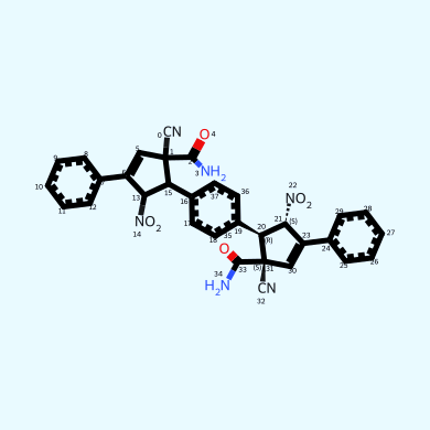 N#CC1(C(N)=O)C=C(c2ccccc2)C([N+](=O)[O-])C1c1ccc([C@H]2[C@H]([N+](=O)[O-])C(c3ccccc3)=C[C@]2(C#N)C(N)=O)cc1